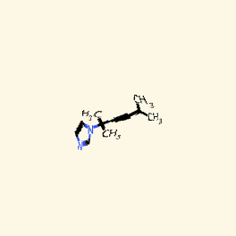 CC(C)C#CC(C)(C)n1ccnc1